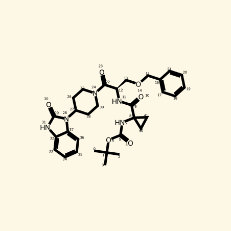 CC(C)(C)OC(=O)NC1(C(=O)N[C@H](COCc2ccccc2)C(=O)N2CCC(n3c(=O)[nH]c4ccccc43)CC2)CC1